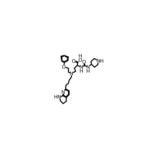 O=C(NC1CCNCC1)NC(CCN(CCCCc1ccc2c(n1)NCCC2)CCOc1ccccc1)C(=O)O